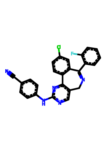 N#Cc1ccc(Nc2ncc3c(n2)-c2ccc(Cl)cc2C(c2ccccc2F)=NC3)cc1